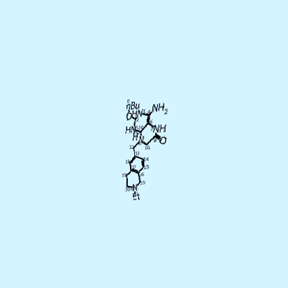 CCCCOC1NC(N)=C2NC(=O)CN(Cc3ccc4c(c3)CCN(CC)C4)[C@H]2N1